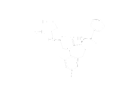 Cc1cc(C)c2c(c1)CC[C@H](NC(=O)c1ccccc1)C(=O)N2CC(=O)N[C@H](C=O)CC(=O)O